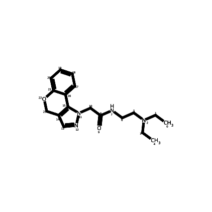 CCN(CC)CCNC(=O)Cn1ncc2c1-c1ccccc1OC2